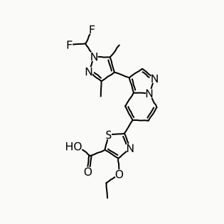 CCOc1nc(-c2ccn3ncc(-c4c(C)nn(C(F)F)c4C)c3c2)sc1C(=O)O